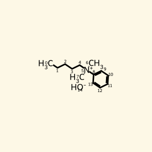 CCCCC[N+](C)(C)c1ccccc1.[OH-]